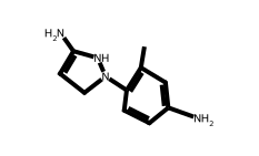 Cc1cc(N)ccc1N1CC=C(N)N1